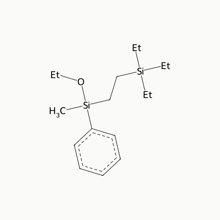 CCO[Si](C)(CC[Si](CC)(CC)CC)c1ccccc1